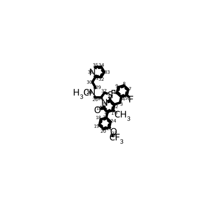 Cc1c(Cc2c(F)cccc2F)c2n(c(=O)c1-c1cccc(OC(F)(F)F)c1)C(CN(C)CCc1ccccn1)CS2